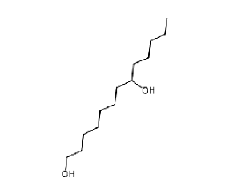 CCCCCC(O)CCCCCCCO